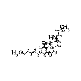 CCCC=CCc1cc(O)c2c(c1)OCC1CCC(NCCCC)CC21